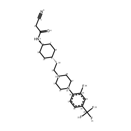 N#CCC(=O)N[C@H]1CC[C@H](CCN2CCN(c3ccc(C(F)(F)F)cc3F)CC2)CC1